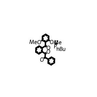 CCCCP=O.COc1cccc(OC)c1C(=O)c1ccccc1C(=O)C(=O)c1ccccc1